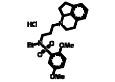 CCN(CCCN1CCc2cccc3c2C1CC3)S(=O)(=O)c1cc(OC)ccc1OC.Cl